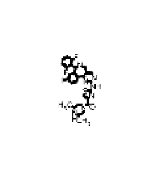 CC1CN(C(=O)c2csc(Nc3ncc4c(n3)-c3ccc(I)cc3C(c3c(F)cccc3F)=NC4)n2)CC(C)N1